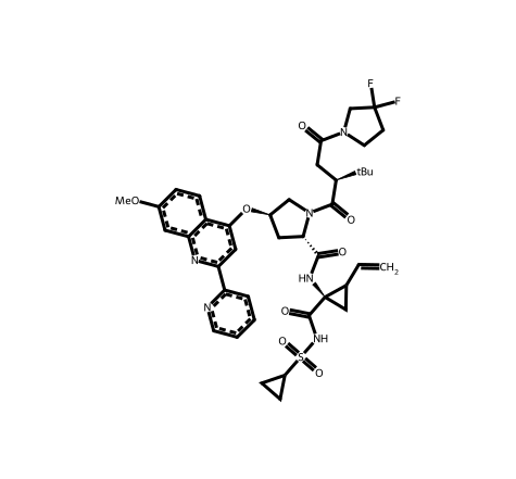 C=CC1C[C@]1(NC(=O)[C@@H]1C[C@@H](Oc2cc(-c3ccccn3)nc3cc(OC)ccc23)CN1C(=O)[C@@H](CC(=O)N1CCC(F)(F)C1)C(C)(C)C)C(=O)NS(=O)(=O)C1CC1